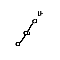 [Cl][Cu][Cl].[Li]